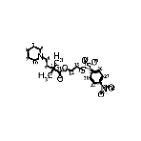 CC(C)(CCN1CCCCC1)C(=O)OCCSS(=O)(=O)c1ccc([N+](=O)[O-])cc1